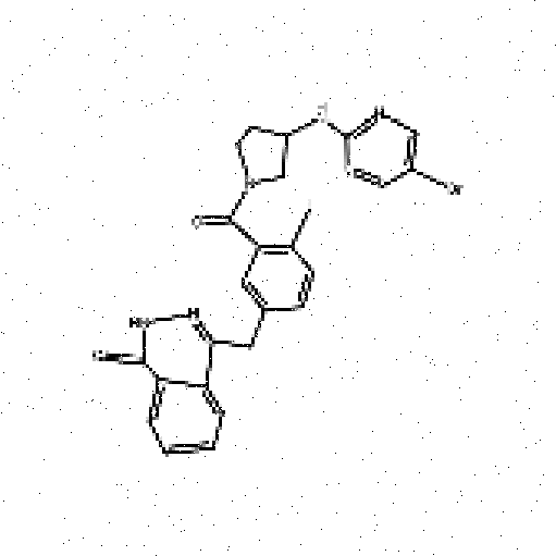 O=C(c1cc(Cc2n[nH]c(=O)c3ccccc23)ccc1F)N1CCC(Nc2ncc(Br)cn2)C1